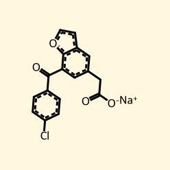 O=C([O-])Cc1cc(C(=O)c2ccc(Cl)cc2)c2occc2c1.[Na+]